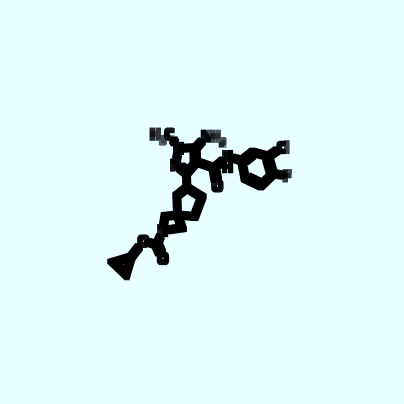 Cn1nc(C2CCC3(C2)CN(C(=O)OC2CC2)C3)c(C(=O)Nc2ccc(F)c(Cl)c2)c1N